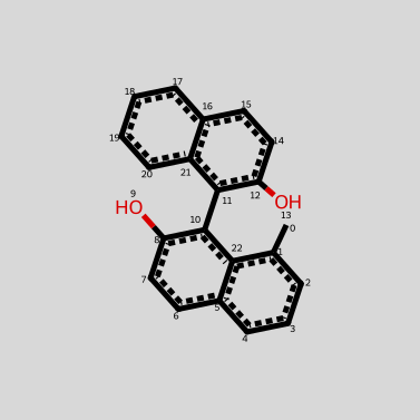 Cc1cccc2ccc(O)c(-c3c(O)ccc4ccccc34)c12